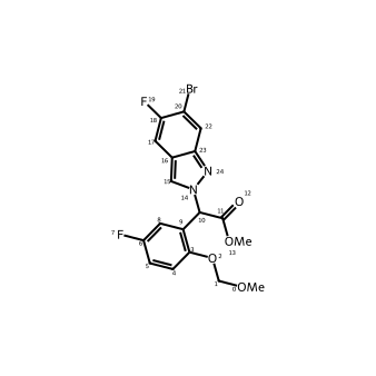 COCOc1ccc(F)cc1C(C(=O)OC)n1cc2cc(F)c(Br)cc2n1